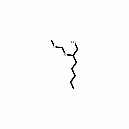 CCCCCC(CO)OCOC